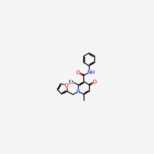 CCc1c(C(=O)Nc2ccccc2)c(=O)cc(C)n1Cc1ccco1